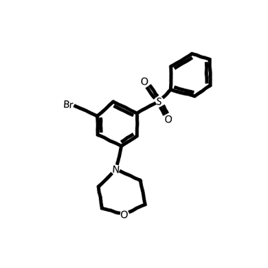 O=S(=O)(c1ccccc1)c1cc(Br)cc(N2CCOCC2)c1